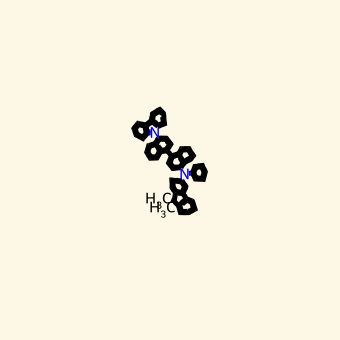 CC1(C)c2ccccc2-c2cc(N(c3ccccc3)c3ccc(-c4ccc(-n5c6ccccc6c6ccccc65)c5ccccc45)c4ccccc34)ccc21